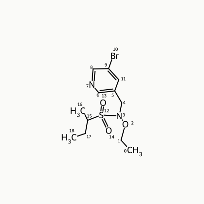 CCON(Cc1cncc(Br)c1)S(=O)(=O)C(C)CC